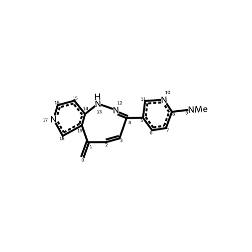 C=C1/C=C\C(c2ccc(NC)nc2)=N/Nc2ccncc21